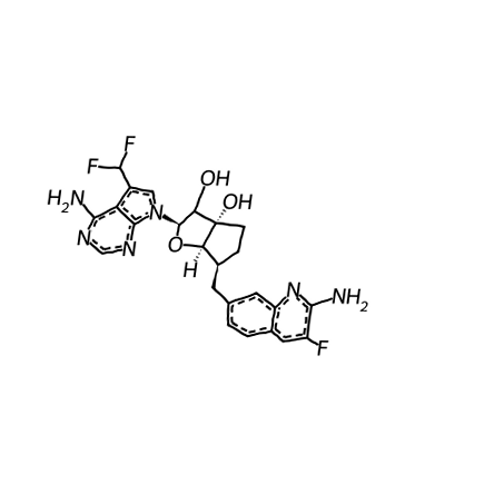 Nc1nc2cc(C[C@@H]3CC[C@]4(O)C(O)[C@H](n5cc(C(F)F)c6c(N)ncnc65)O[C@H]34)ccc2cc1F